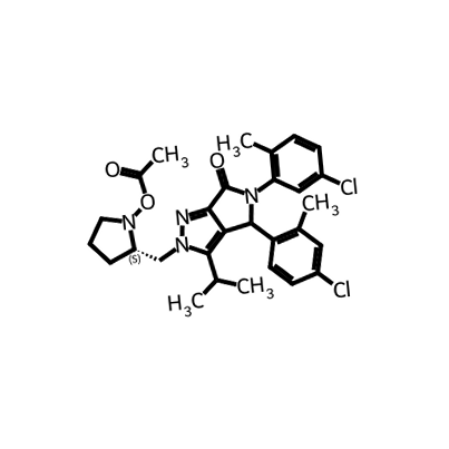 CC(=O)ON1CCC[C@H]1Cn1nc2c(c1C(C)C)C(c1ccc(Cl)cc1C)N(c1cc(Cl)ccc1C)C2=O